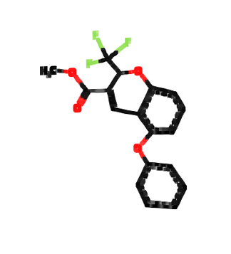 COC(=O)C1=Cc2c(Oc3ccccc3)cccc2OC1C(F)(F)F